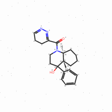 O=C(C1=NN=CCC1)N1CCC(O)(c2ccccc2)[C@H]2CCCC[C@@H]21